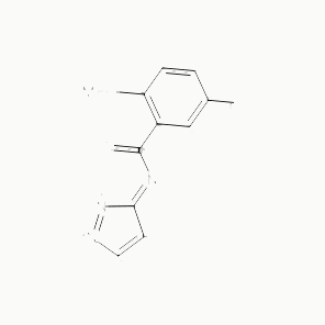 COc1ccc(Cl)cc1C(=O)N=C1C=CN=N1